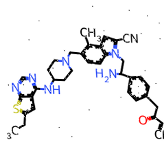 C=CC(=O)Cc1ccc(C(N)Cn2c(C#N)cc3c(C)c(CN4CCC(Nc5ncnc6sc(CC(F)(F)F)cc56)CC4)ccc32)cc1